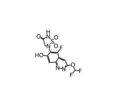 O=C1CN(c2c(O)cc3nnc(OC(F)F)cc3c2F)S(=O)(=O)N1